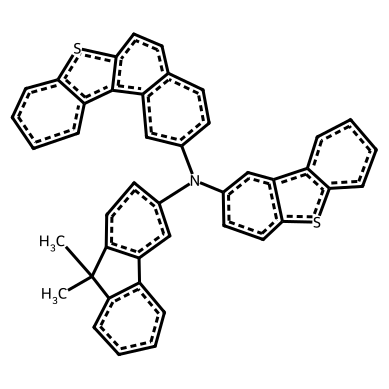 CC1(C)c2ccccc2-c2cc(N(c3ccc4sc5ccccc5c4c3)c3ccc4ccc5sc6ccccc6c5c4c3)ccc21